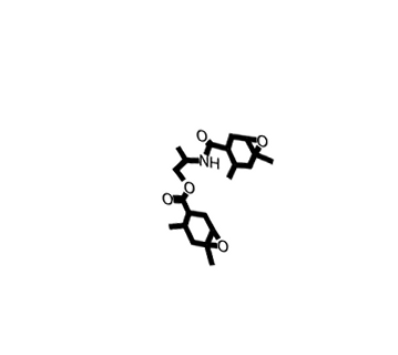 CC(COC(=O)C1CC2OC2(C)CC1C)NC(=O)C1CC2OC2(C)CC1C